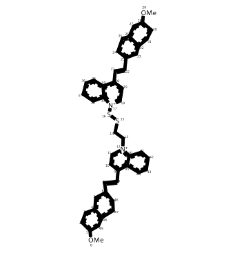 COc1ccc2cc(/C=C/c3cc[n+](CCSS[n+]4ccc(/C=C/c5ccc6cc(OC)ccc6c5)c5ccccc54)c4ccccc34)ccc2c1